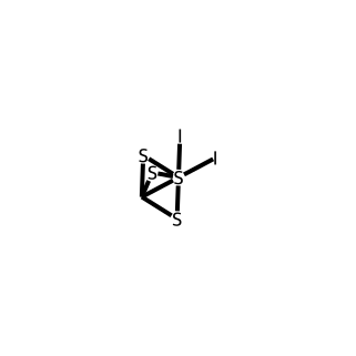 IS123(I)SC1(S2)S3